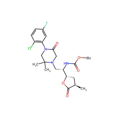 C[C@@H]1C[C@@H]([C@H](CN2CC(=O)N(c3cc(F)ccc3Cl)CC2(C)C)NC(=O)OC(C)(C)C)OC1=O